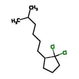 CC(C)CCCCC1CCCC1(Cl)Cl